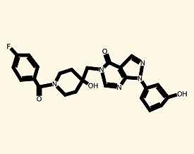 O=C(c1ccc(F)cc1)N1CCC(O)(Cn2cnc3c(cnn3-c3cccc(O)c3)c2=O)CC1